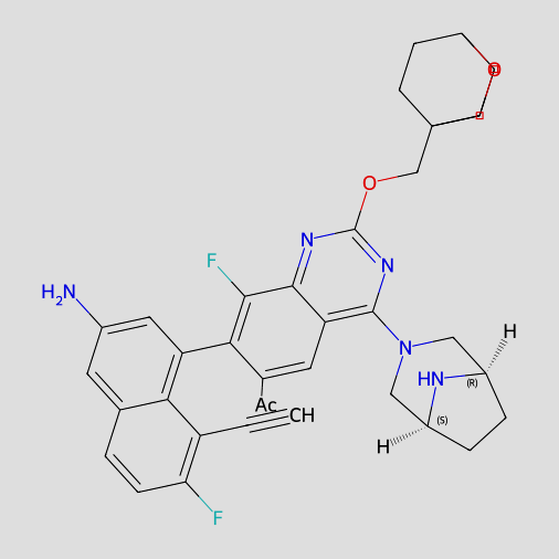 C#Cc1c(F)ccc2cc(N)cc(-c3c(C(C)=O)cc4c(N5C[C@H]6CC[C@@H](C5)N6)nc(OCC56CCC(CC5)OC6)nc4c3F)c12